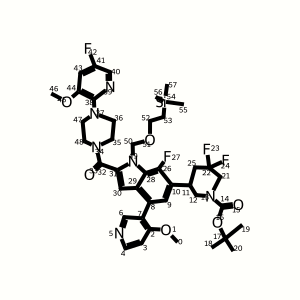 COc1ccncc1-c1cc(C2CN(C(=O)OC(C)(C)C)CC(F)(F)C2)c(F)c2c1cc(C(=O)N1CCN(c3ncc(F)cc3OC)CC1)n2COCC[Si](C)(C)C